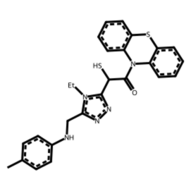 CCn1c(CNc2ccc(C)cc2)nnc1C(S)C(=O)N1c2ccccc2Sc2ccccc21